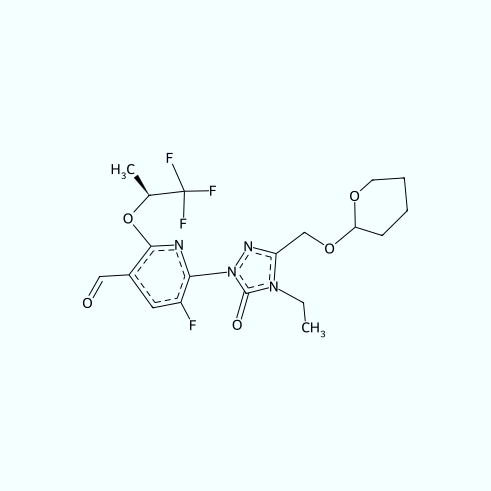 CCn1c(COC2CCCCO2)nn(-c2nc(O[C@@H](C)C(F)(F)F)c(C=O)cc2F)c1=O